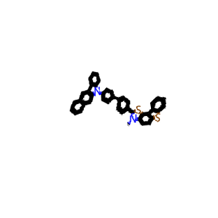 CN1c2ccc3sc4ccccc4c3c2SC1c1ccc(-c2ccc(-n3c4ccccc4c4cc5ccccc5cc43)cc2)cc1